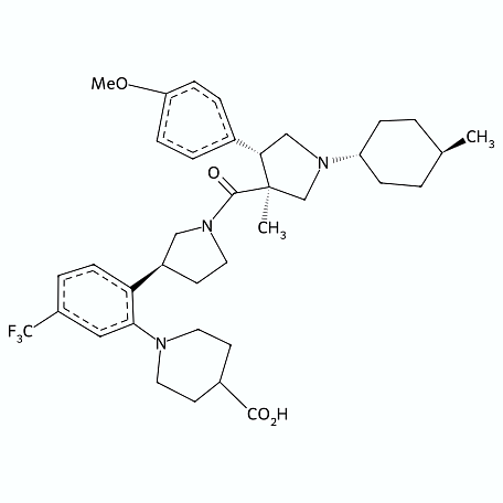 COc1ccc([C@@H]2CN([C@H]3CC[C@H](C)CC3)C[C@@]2(C)C(=O)N2CC[C@@H](c3ccc(C(F)(F)F)cc3N3CCC(C(=O)O)CC3)C2)cc1